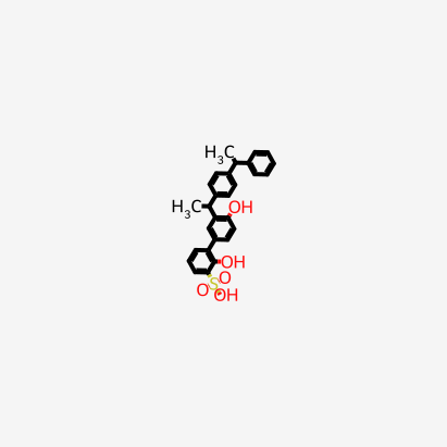 CC(c1ccccc1)c1ccc(C(C)c2cc(-c3cccc(S(=O)(=O)O)c3O)ccc2O)cc1